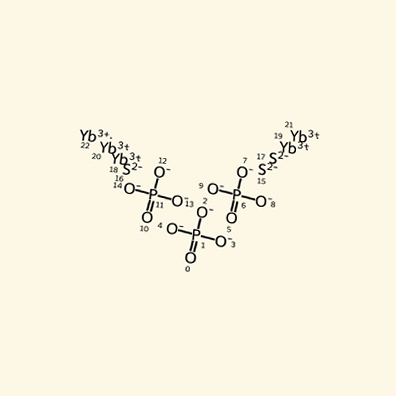 O=P([O-])([O-])[O-].O=P([O-])([O-])[O-].O=P([O-])([O-])[O-].[S-2].[S-2].[S-2].[Yb+3].[Yb+3].[Yb+3].[Yb+3].[Yb+3]